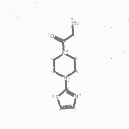 CC(C)(C)CC(=O)N1CCN(c2nccs2)CC1